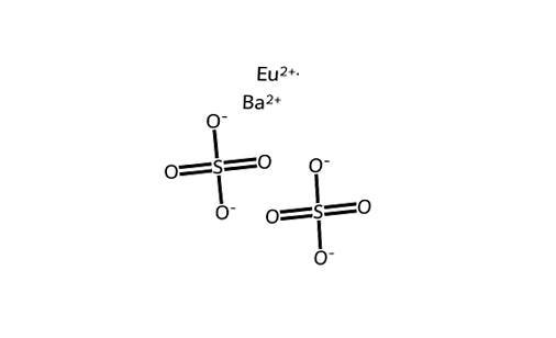 O=S(=O)([O-])[O-].O=S(=O)([O-])[O-].[Ba+2].[Eu+2]